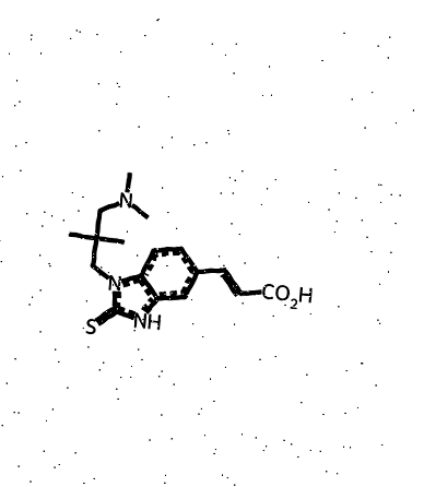 CN(C)CC(C)(C)Cn1c(=S)[nH]c2cc(C=CC(=O)O)ccc21